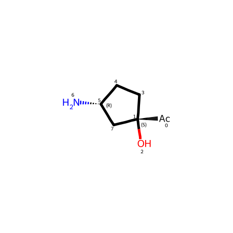 CC(=O)[C@]1(O)CC[C@@H](N)C1